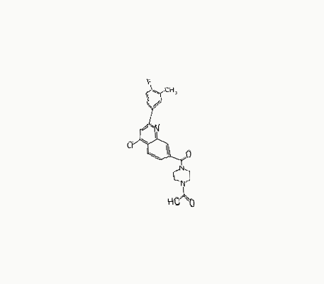 Cc1cc(-c2cc(Cl)c3ccc(C(=O)N4CCN(C(=O)O)CC4)cc3n2)ccc1F